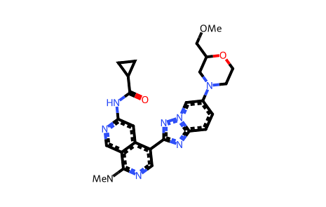 CNc1ncc(-c2nc3ccc(N4CCOC(COC)C4)cn3n2)c2cc(NC(=O)C3CC3)ncc12